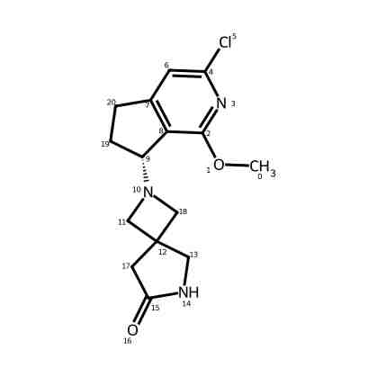 COc1nc(Cl)cc2c1[C@H](N1CC3(CNC(=O)C3)C1)CC2